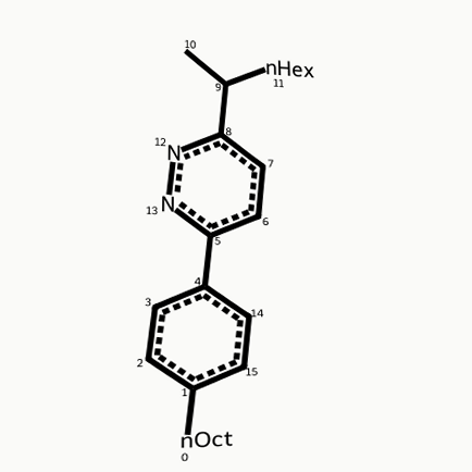 CCCCCCCCc1ccc(-c2ccc(C(C)CCCCCC)nn2)cc1